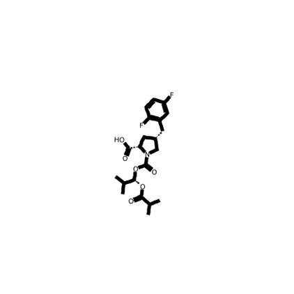 CC(C)C(=O)O[C@@H](OC(=O)N1C[C@@H](Cc2cc(F)ccc2F)C[C@H]1C(=O)O)C(C)C